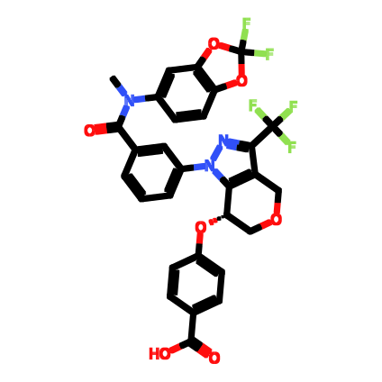 CN(C(=O)c1cccc(-n2nc(C(F)(F)F)c3c2[C@@H](Oc2ccc(C(=O)O)cc2)COC3)c1)c1ccc2c(c1)OC(F)(F)O2